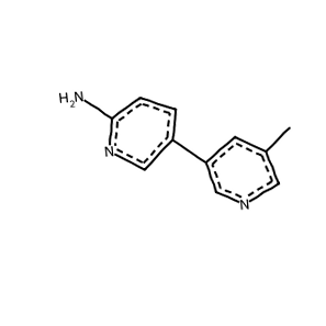 Cc1cncc(-c2ccc(N)nc2)c1